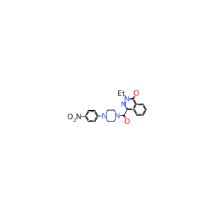 CCn1nc(C(=O)N2CCN(c3ccc([N+](=O)[O-])cc3)CC2)c2ccccc2c1=O